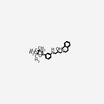 CC1(C)OB(c2cccc(NCC(O)CN3CCc4ccccc4C3)c2)OC1(C)C